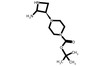 CC(C)(C)OC(=O)N1CCN([C@@H]2CNC2N)CC1